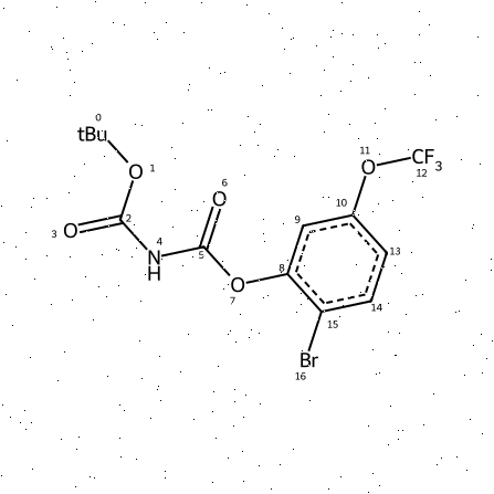 CC(C)(C)OC(=O)NC(=O)Oc1cc(OC(F)(F)F)ccc1Br